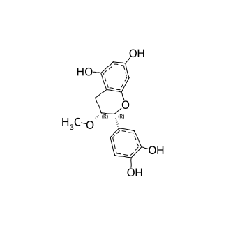 CO[C@@H]1Cc2c(O)cc(O)cc2O[C@@H]1c1ccc(O)c(O)c1